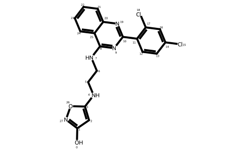 Oc1cc(NCCNc2nc(-c3ccc(Cl)cc3Cl)nc3ccccc23)on1